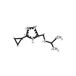 CC(C)SCc1nnc(C2CC2)s1